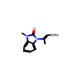 CSC=C(C)n1c(=O)n(C)c2ccccc21